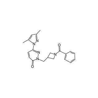 Cc1cc(C)n(-c2ccc(=O)n(CC3CN(C(=O)c4ccccc4)C3)n2)n1